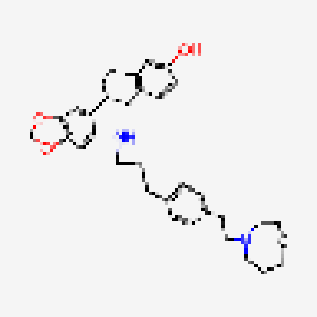 Oc1ccc2c(c1)CCC(c1cc3c(cc1NCCCc1ccc(CCN4CCCCCC4)cc1)OCO3)C2